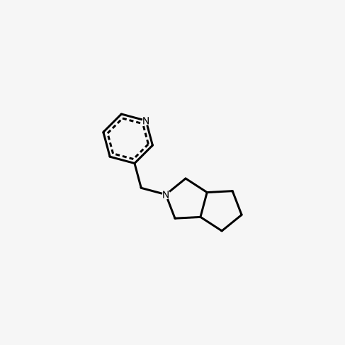 c1cncc(CN2CC3CCCC3C2)c1